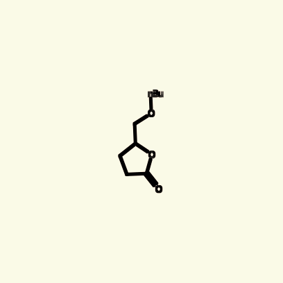 CCCCOCC1CCC(=O)O1